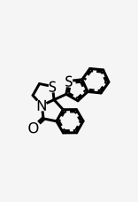 O=C1c2ccccc2C2(c3cc4ccccc4s3)SCCN12